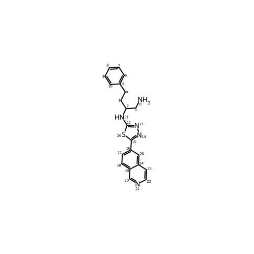 NCC(CCc1ccccc1)Nc1nnc(-c2ccc3cnccc3c2)s1